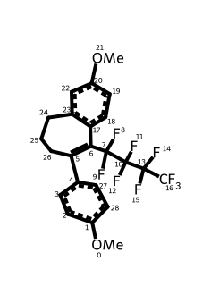 COc1ccc(C2=C(C(F)(F)C(F)(F)C(F)(F)C(F)(F)F)c3ccc(OC)cc3CCC2)cc1